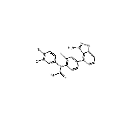 NC(=O)N(c1ccc(F)c(Cl)c1)c1ccc(-c2cccc3[nH]nc(N)c23)cc1F